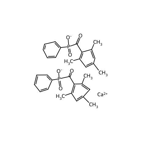 Cc1cc(C)c(C(=O)P(=O)([O-])c2ccccc2)c(C)c1.Cc1cc(C)c(C(=O)P(=O)([O-])c2ccccc2)c(C)c1.[Ca+2]